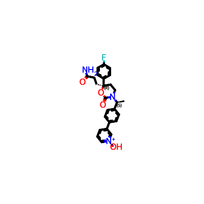 C[C@@H](c1ccc(-c2ccc[n+](O)c2)cc1)N1CC[C@](CCC(N)=O)(c2ccc(F)cc2)OC1=O